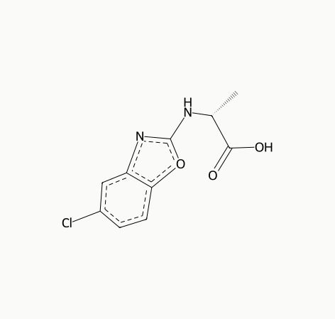 C[C@@H](Nc1nc2cc(Cl)ccc2o1)C(=O)O